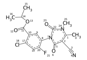 Cc1c(C#N)c(=O)n(-c2cc(C(=O)OC(C)C)c(Cl)cc2F)c(=O)n1C